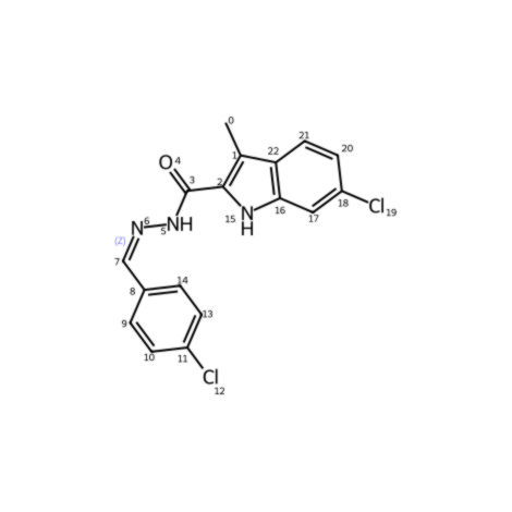 Cc1c(C(=O)N/N=C\c2ccc(Cl)cc2)[nH]c2cc(Cl)ccc12